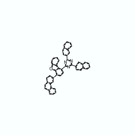 c1ccc2cc(-c3nc(-c4ccc5ccccc5c4)nc(-c4ccc(-c5ccc6ccc7ccccc7c6c5)c5oc6ccccc6c45)n3)ccc2c1